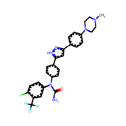 CN1CCN(c2ccc(-c3cc(-c4ccc(N(C(N)=O)c5ccc(Cl)c(C(F)(F)F)c5)cc4)[nH]n3)cc2)CC1